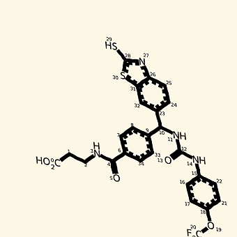 O=C(O)CCNC(=O)c1ccc(C(NC(=O)Nc2ccc(OC(F)(F)F)cc2)c2ccc3nc(S)sc3c2)cc1